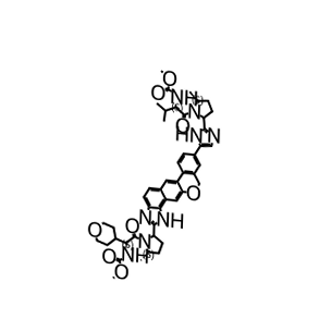 COC(=O)N[C@H](C(=O)N1C(c2ncc(-c3ccc4c(c3)COc3cc5c(ccc6nc(C7CC[C@H](C)N7C(=O)[C@@H](NC(=O)OC)C7CCOCC7)[nH]c65)cc3-4)[nH]2)CC[C@@H]1C)C(C)C